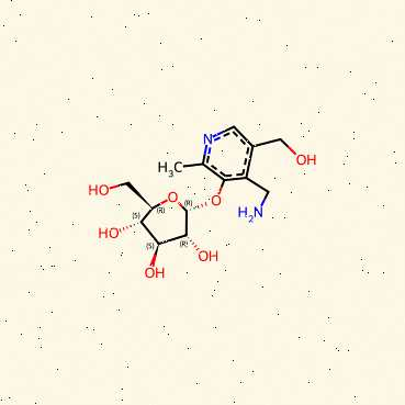 Cc1ncc(CO)c(CN)c1O[C@H]1O[C@H](CO)[C@@H](O)[C@H](O)[C@H]1O